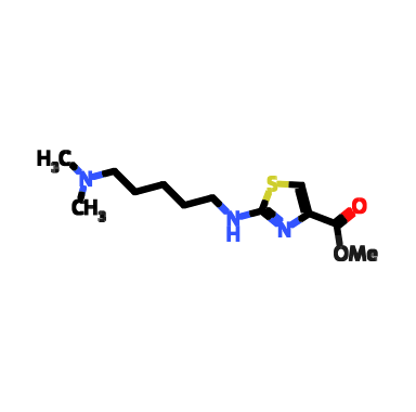 COC(=O)c1csc(NCCCCCN(C)C)n1